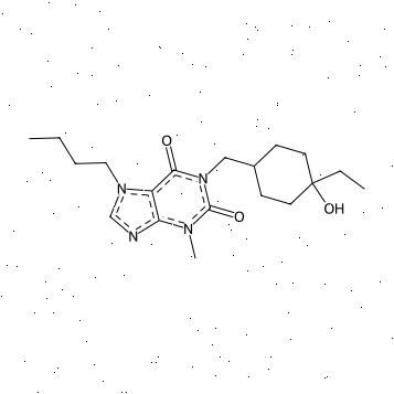 CCCCn1cnc2c1c(=O)n(CC1CCC(O)(CC)CC1)c(=O)n2C